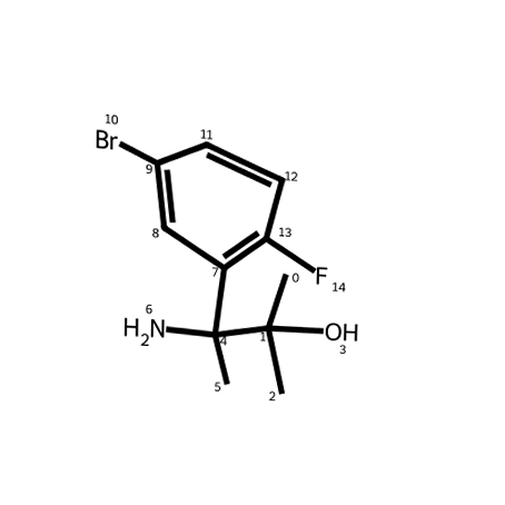 CC(C)(O)C(C)(N)c1cc(Br)ccc1F